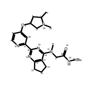 CC1CC(Oc2ccnc(-c3nc4c(c(N(C)CC(=O)NC(C)(C)C)n3)CCC4)c2)CN1C